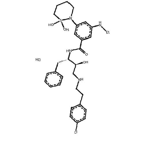 CCNc1cc(C(=O)N[C@@H](Cc2ccccc2)[C@@H](O)CNCCc2ccc(Cl)cc2)cc(N2CCCCS2(O)O)c1.Cl